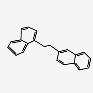 [C]([CH]c1cccc2ccccc12)c1ccc2ccccc2c1